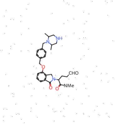 CNC(=O)C(CCC=O)N1Cc2c(OCc3ccc(CN4C(C)CNCC4C)cc3)cccc2C1=O